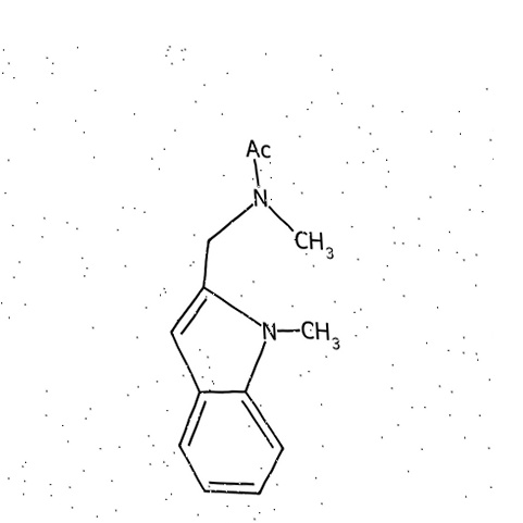 CC(=O)N(C)Cc1cc2ccccc2n1C